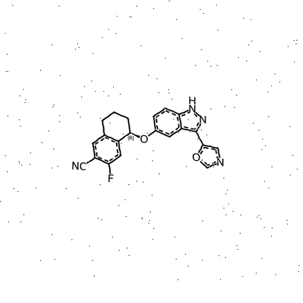 N#Cc1cc2c(cc1F)[C@H](Oc1ccc3[nH]nc(-c4cnco4)c3c1)CCC2